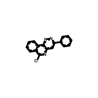 Clc1nc2cc(-c3ccccc3)nnc2c2ccccc12